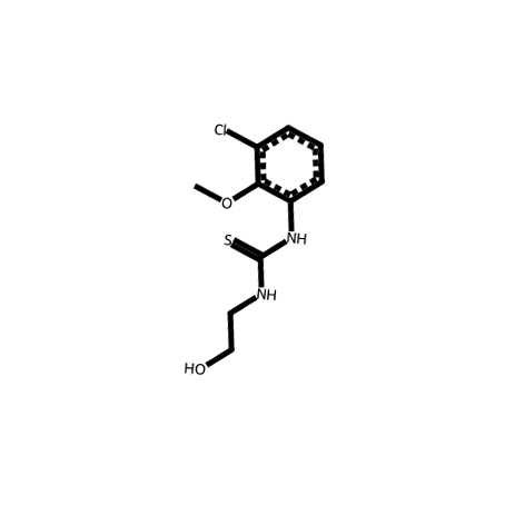 COc1c(Cl)cccc1NC(=S)NCCO